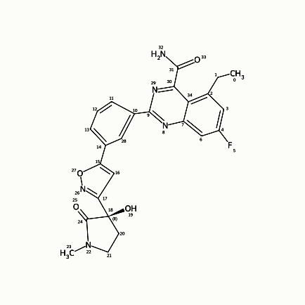 CCc1cc(F)cc2nc(-c3cccc(-c4cc([C@]5(O)CCN(C)C5=O)no4)c3)nc(C(N)=O)c12